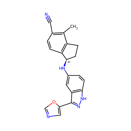 Cc1c(C#N)ccc2c1CC[C@H]2Nc1ccc2[nH]nc(-c3cnco3)c2c1